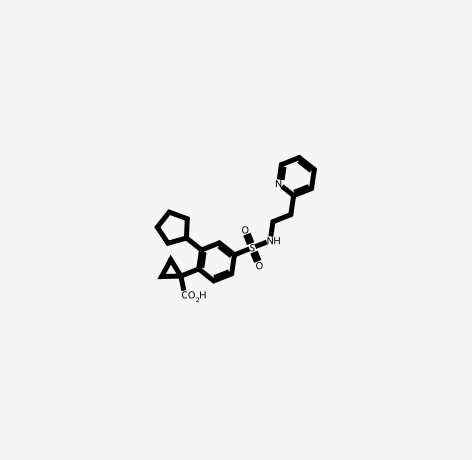 O=C(O)C1(c2ccc(S(=O)(=O)NCCc3ccccn3)cc2C2CCCC2)CC1